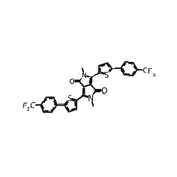 CN1C(=O)C2=C(c3ccc(-c4ccc(C(F)(F)F)cc4)s3)N(C)C(=O)C2=C1c1ccc(-c2ccc(C(F)(F)F)cc2)s1